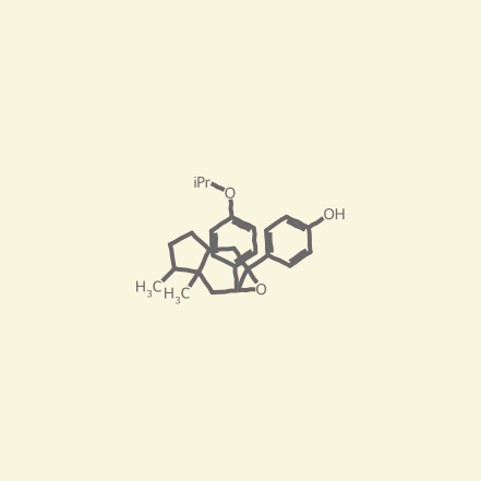 CC(C)Oc1ccc(C23CC4(C)C(C)CCC4CC2(c2ccc(O)cc2)O3)cc1